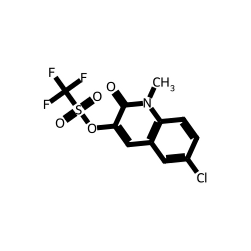 Cn1c(=O)c(OS(=O)(=O)C(F)(F)F)cc2cc(Cl)ccc21